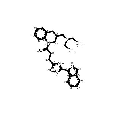 CCN(CC)CC1Cc2ccccc2N(C(=O)CCc2nc(-c3occ4ccccc34)no2)C1